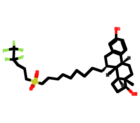 C[C@]12CC[C@@H]3c4ccc(O)cc4C[C@@H](CCCCCCCCCS(=O)(=O)CCCC(F)(F)C(F)(F)F)[C@H]3[C@@H]1CC[C@@H]2O